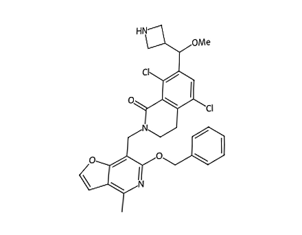 COC(c1cc(Cl)c2c(c1Cl)C(=O)N(Cc1c(OCc3ccccc3)nc(C)c3ccoc13)CC2)C1CNC1